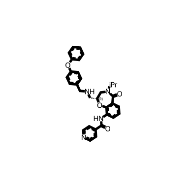 CC(C)N1C[C@@H](CNCc2ccc(Oc3ccccc3)cc2)Oc2c(NC(=O)c3ccncc3)cccc2C1=O